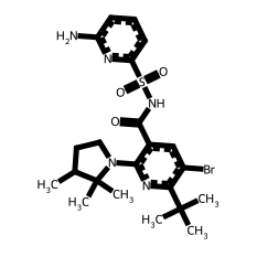 CC1CCN(c2nc(C(C)(C)C)c(Br)cc2C(=O)NS(=O)(=O)c2cccc(N)n2)C1(C)C